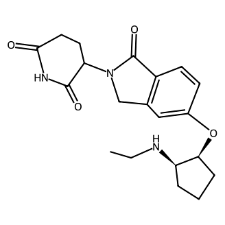 CCN[C@@H]1CCC[C@@H]1Oc1ccc2c(c1)CN(C1CCC(=O)NC1=O)C2=O